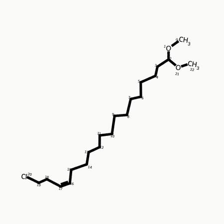 COC(CCCCCCCCCCCCC/C=C\CCCl)OC